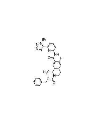 CC1c2cc(C(=O)Nc3cccc(-c4nnnn4C(C)C)n3)c(F)cc2CCN1C(=O)OCc1ccccc1